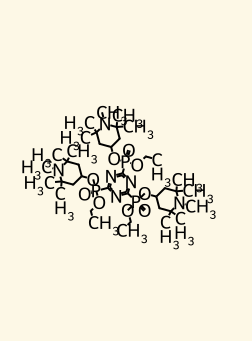 CCOP(=O)(OC1CC(C)(C)N(C)C(C)(C)C1)c1nc(P(=O)(OCC)OC2CC(C)(C)N(C)C(C)(C)C2)nc(P(=O)(OCC)OC2CC(C)(C)N(C)C(C)(C)C2)n1